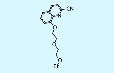 CCOCCOCCOc1cccc2ccc(C#N)nc12